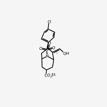 CCOC(=O)C1CC2CC(=O)/C(=C/O)C(C1)N2S(=O)(=O)c1ccc(Cl)cc1